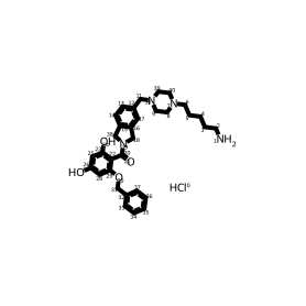 Cl.NCCCCCN1CCN(Cc2ccc3c(c2)CN(C(=O)c2c(O)cc(O)cc2OCc2ccccc2)C3)CC1